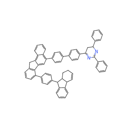 C1=CC2c3ccccc3C(c3ccc(-c4cccc5c4-c4cc(-c6ccc(-c7ccc(C8=NC(c9ccccc9)=NC(c9ccccc9)C8)cc7)cc6)c6ccccc6c4C5)cc3)C2CC1